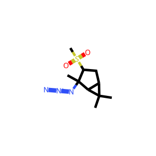 CC1(C)C2CC(S(C)(=O)=O)C(C)(N=[N+]=[N-])C21